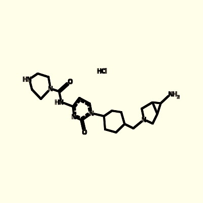 Cl.NC1C2CN(CC3CCC(n4ccc(NC(=O)N5CCNCC5)nc4=O)CC3)CC12